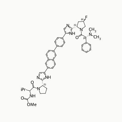 COC(=O)NC(C(=O)N1CCC[C@H]1c1ncc(-c2ccc3cc(-c4ccc(-c5cnc([C@@H]6C[C@@H](F)CN6C(=O)[C@@H](c6ccccc6)N(C)C)[nH]5)cc4)ccc3c2)[nH]1)C(C)C